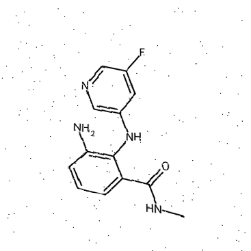 CNC(=O)c1cccc(N)c1Nc1cncc(F)c1